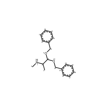 CNC(C)C(OCc1ccccc1)OCc1ccccc1